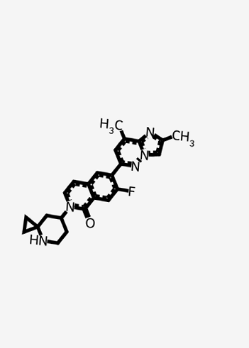 Cc1cn2nc(-c3cc4ccn(C5CCNC6(CC6)C5)c(=O)c4cc3F)cc(C)c2n1